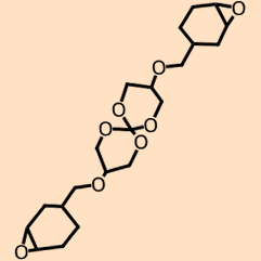 C1CC2OC2CC1COC1COC2(OC1)OCC(OCC1CCC3OC3C1)CO2